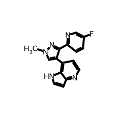 Cn1cc(-c2ccnc3cc[nH]c23)c(-c2ccc(F)cn2)n1